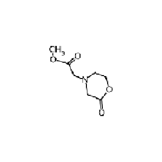 COC(=O)CN1CCOC(=O)C1